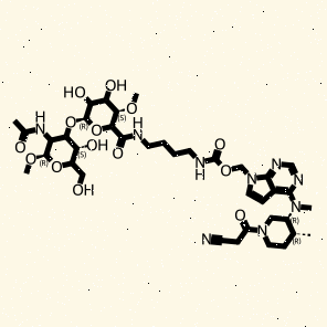 CO[C@@H]1OC(CO)[C@@H](O)C(O[C@@H]2OC(C(=O)NCCCCNC(=O)OCn3ccc4c(N(C)[C@H]5CN(C(=O)CC#N)CC[C@H]5C)ncnc43)[C@@H](OC)C(O)C2O)C1NC(C)=O